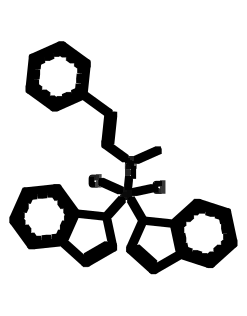 C[SiH](C=Cc1ccccc1)[Zr]([Cl])([Cl])([CH]1C=Cc2ccccc21)[CH]1C=Cc2ccccc21